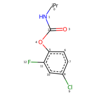 CC(C)NC(=O)Oc1ccc(Cl)cc1F